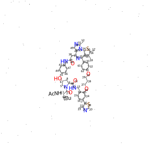 CC(=O)N[C@H](C(=O)N1C[C@H](O)C[C@H]1C(=O)NCc1ccc(-c2scnc2C)cc1OCCCOc1ccc(C2=N[C@@H](CC(=O)Nc3ccccc3)c3cnc(C)n3-c3sc(C)c(C)c32)cc1)C(C)(C)C